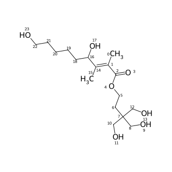 CC(C(=O)OCCC(CO)(CO)CO)=C(C)C(O)CCCCCO